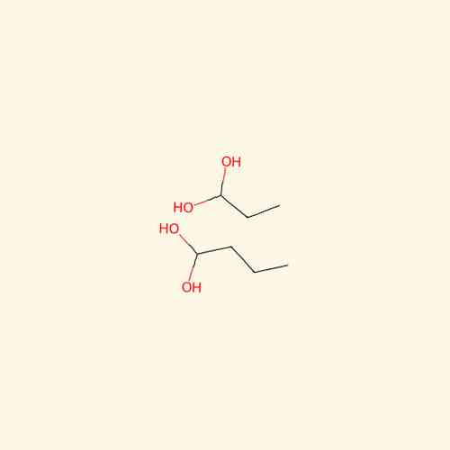 CCC(O)O.CCCC(O)O